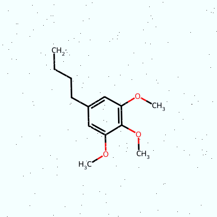 [CH2]CCCc1cc(OC)c(OC)c(OC)c1